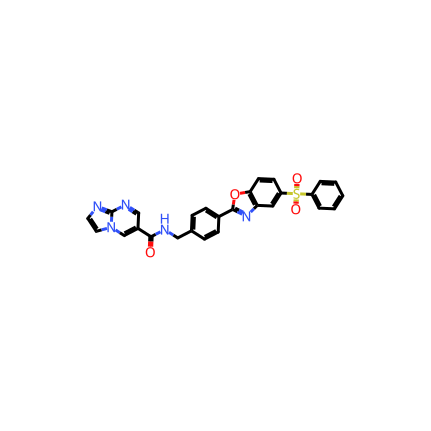 O=C(NCc1ccc(-c2nc3cc(S(=O)(=O)c4ccccc4)ccc3o2)cc1)c1cnc2nccn2c1